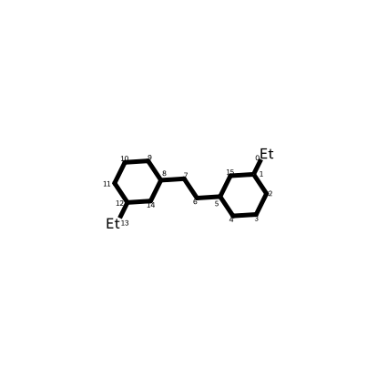 CCC1CCCC(CCC2CCCC(CC)C2)C1